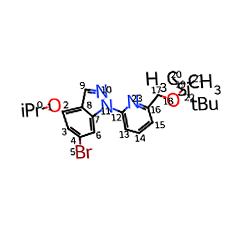 CC(C)Oc1cc(Br)cc2c1cnn2-c1cccc(CO[Si](C)(C)C(C)(C)C)n1